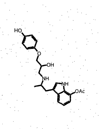 CC(=O)Oc1cccc2c(CC(C)NCC(O)COc3ccc(O)cc3)c[nH]c12